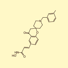 Cc1cccc(CN2CCC3(CC2)CC(=O)c2cc(C=CC(=O)NO)ccc2O3)c1